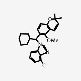 COc1c(C(C2CCCCC2)n2cnc3c(Cl)cccc32)ccc2c1C=CC(C)(C)O2